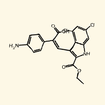 CCOC(=O)c1[nH]c2cc(Cl)cc(Cl)c2c1/C=C(\C(=O)O)c1ccc(N)cc1